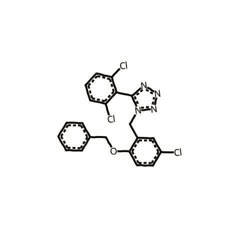 Clc1ccc(OCc2ccccc2)c(Cn2nnnc2-c2c(Cl)cccc2Cl)c1